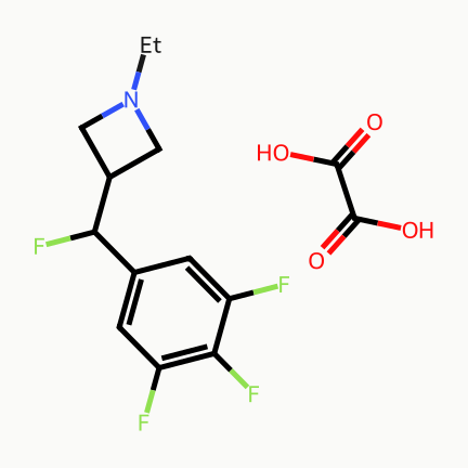 CCN1CC(C(F)c2cc(F)c(F)c(F)c2)C1.O=C(O)C(=O)O